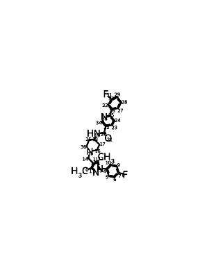 Cc1nn(-c2ccc(F)cc2)c(C)c1CN1CCC(NC(=O)c2ccc(-c3cccc(F)c3)nc2)CC1